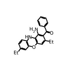 CCc1ccc2c(c1)Oc1cc(CC)c(C(=O)c3ccccc3)c(N)c1N2